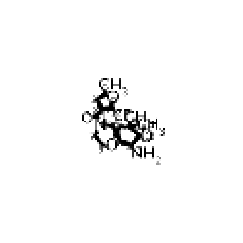 Cc1cc(C(=O)N2CCOC3(C=C(N)C(=O)C(C)(C)C3)C2)c(C(F)(F)F)o1